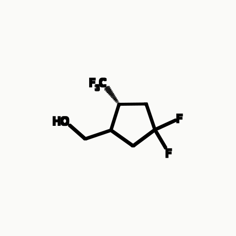 OCC1CC(F)(F)C[C@H]1C(F)(F)F